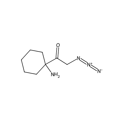 [N-]=[N+]=NCC(=O)C1(N)CCCCC1